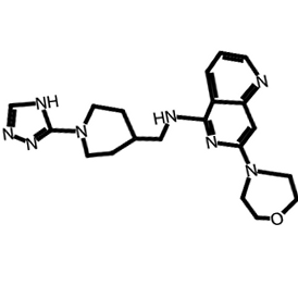 c1cnc2cc(N3CCOCC3)nc(NCC3CCN(c4nnc[nH]4)CC3)c2c1